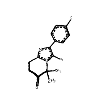 CC1(C)C(=O)CCc2nc(-c3ccc(F)cc3)c(Br)n21